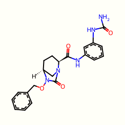 NC(=O)Nc1cccc(NC(=O)[C@@H]2CC[C@H]3CN2C(=O)N3OCc2ccccc2)c1